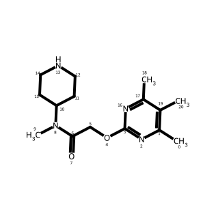 Cc1nc(OCC(=O)N(C)C2CCNCC2)nc(C)c1C